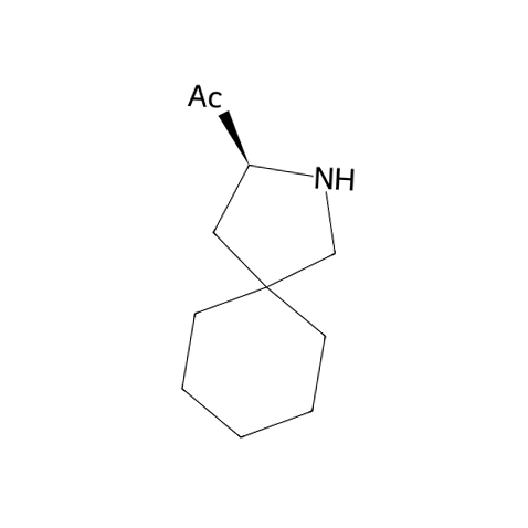 CC(=O)[C@@H]1CC2(CCCCC2)CN1